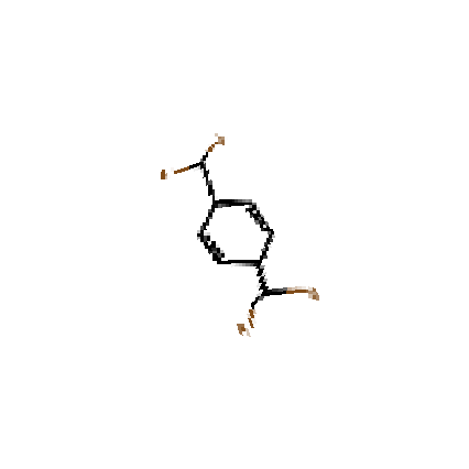 BrC(Br)C1C=CC(C(Br)Br)C=C1